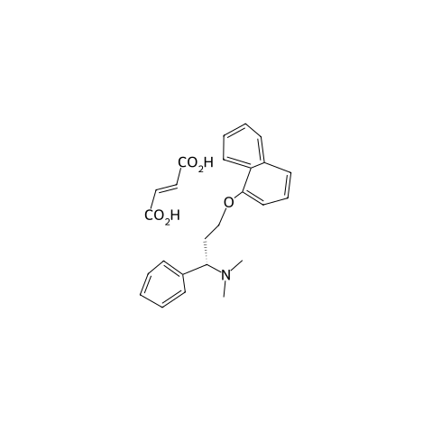 CN(C)[C@@H](CCOc1cccc2ccccc12)c1ccccc1.O=C(O)/C=C/C(=O)O